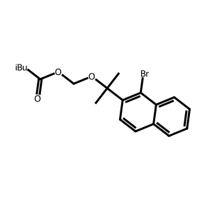 CCC(C)C(=O)OCOC(C)(C)c1ccc2ccccc2c1Br